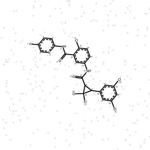 O=C(Nc1ccc(F)cn1)c1cc(NC(=O)C2C(c3cc(Cl)cc(Cl)c3)C2(Cl)Cl)ccc1Cl